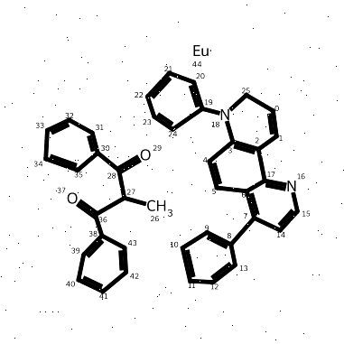 C1=Cc2c(ccc3c(-c4ccccc4)ccnc23)N(c2ccccc2)C1.CC(C(=O)c1ccccc1)C(=O)c1ccccc1.[Eu]